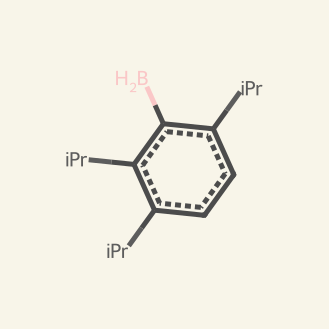 Bc1c(C(C)C)ccc(C(C)C)c1C(C)C